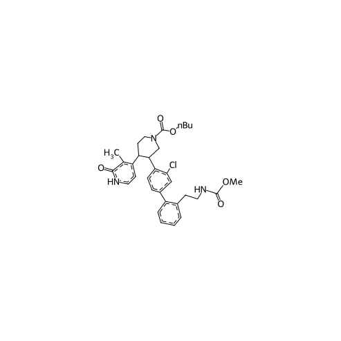 CCCCOC(=O)N1CCC(c2cc[nH]c(=O)c2C)C(c2ccc(-c3ccccc3CCNC(=O)OC)cc2Cl)C1